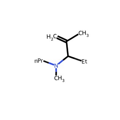 C=C(C)C(CC)N(C)CCC